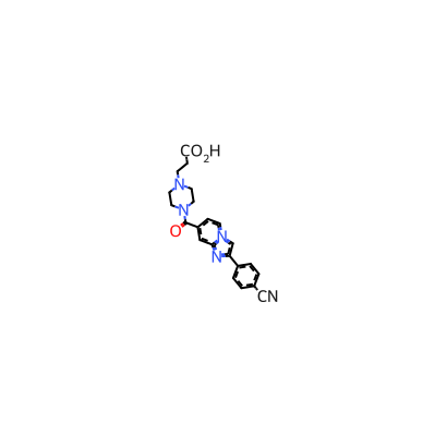 N#Cc1ccc(-c2cn3ccc(C(=O)N4CCN(CCC(=O)O)CC4)cc3n2)cc1